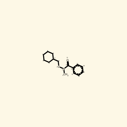 CN(OCC1CCCCC1)C(=O)c1ccccc1